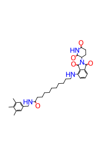 Cc1cc(CNC(=O)CCCCCCCCCCNc2cccc3c2C(=O)N(C2CCC(=O)NC2=O)C3=O)cc(C)c1C